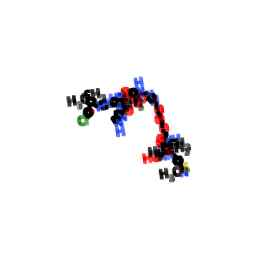 Cc1ncsc1-c1ccc(CNC(=O)[C@@H]2C[C@@H](O)CN2C(=O)[C@@H](NC(=O)CCOCCOCCOCCN2CCN(CCNc3ccc(S(=O)(=O)NC(=O)c4ccc(N5CCN(CC6=C(c7ccc(Cl)cc7)CC(C)(C)CC6)CC5)cc4-n4c5cc6cc[nH]c6nc5c(=O)n4C)cc3[N+](=O)[O-])CC2)C(C)(C)C)cc1